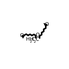 C=CC(CCCCCC1CO1)OC(C=C)CCCCCC1CO1